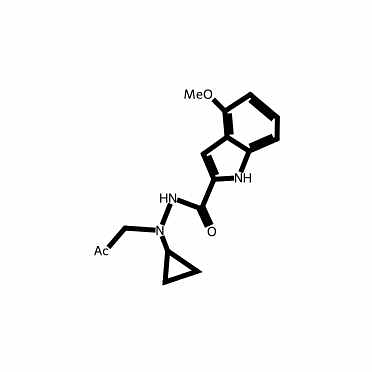 COc1cccc2[nH]c(C(=O)NN(CC(C)=O)C3CC3)cc12